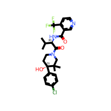 CC(C)[C@@H](NC(=O)c1cnccc1C(F)(F)F)C(=O)N1CC[C@](O)(c2ccc(Cl)cc2)C(C)(C)C1